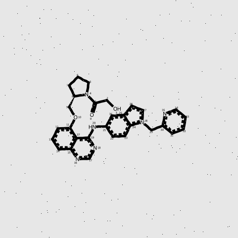 O=C(CO)N1CCC[C@@H]1COc1cccc2ncnc(Nc3ccc4c(ccn4Cc4ccccn4)c3)c12